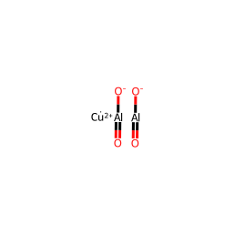 [Cu+2].[O]=[Al][O-].[O]=[Al][O-]